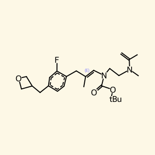 C=C(C)N(C)CCN(/C=C(\C)Cc1ccc(CC2COC2)cc1F)C(=O)OC(C)(C)C